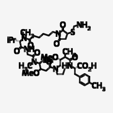 CC[C@H](C)[C@@H]([C@@H](CC(=O)N1CCC[C@H]1[C@H](OC)[C@@H](C)C(=O)N[C@@H](Cc1ccc(C)cc1)C(=O)O)OC)N(C)C(=O)CNC(=O)[C@H](C(C)C)N(C)C(=O)CCCCCN1C(=O)CC(SCN)C1=O